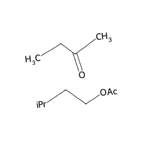 CC(=O)OCCC(C)C.CCC(C)=O